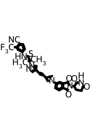 CC(C)(C(=S)Nc1ccc(C#N)c(C(F)(F)F)c1)n1cc(C#CC2CN(c3ccc4c(c3)C(=O)N(C3CCC(=O)NC3=O)C4=O)C2)cn1